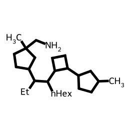 CCCCCCC(C(CC)C1CCC(C)(CN)C1)C1CCC1C1CCC(C)C1